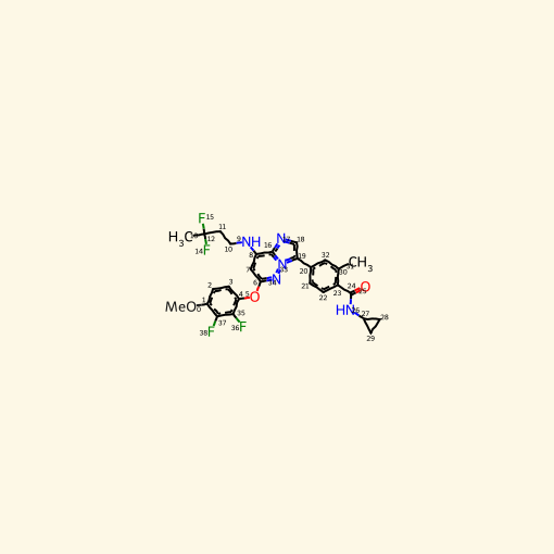 COc1ccc(Oc2cc(NCCC(C)(F)F)c3ncc(-c4ccc(C(=O)NC5CC5)c(C)c4)n3n2)c(F)c1F